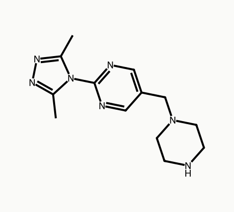 Cc1nnc(C)n1-c1ncc(CN2CCNCC2)cn1